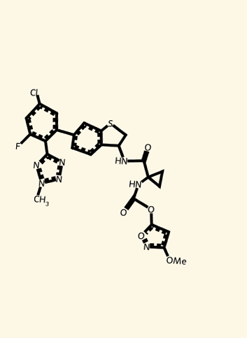 COc1cc(OC(=O)NC2(C(=O)NC3CSc4cc(-c5cc(Cl)cc(F)c5-c5nnn(C)n5)ccc43)CC2)on1